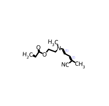 C=CC(=O)OCCN(C)/C=C/C=C(/C)C#N